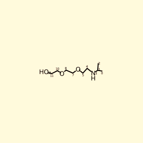 CC(C)NCCOCCOCCO